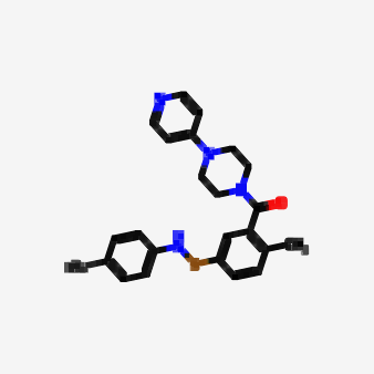 CCCCc1ccc(NSc2ccc(C)c(C(=O)N3CCN(c4ccncc4)CC3)c2)cc1